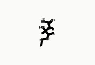 CSOC(C)C(C)(O)C(C)C(=O)O